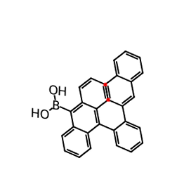 OB(O)c1c2ccccc2c(-c2ccccc2-c2ccc3ccccc3c2)c2ccccc12